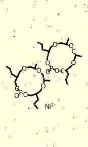 CCCC1COCC(C)OCC(C)OCC(CCC)COP([O-])OC1.CCCC1COCC(C)OCC(C)OCC(CCC)COP([O-])OC1.[Ni+2]